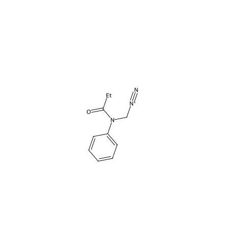 CCC(=O)N(C[N+]#N)c1ccccc1